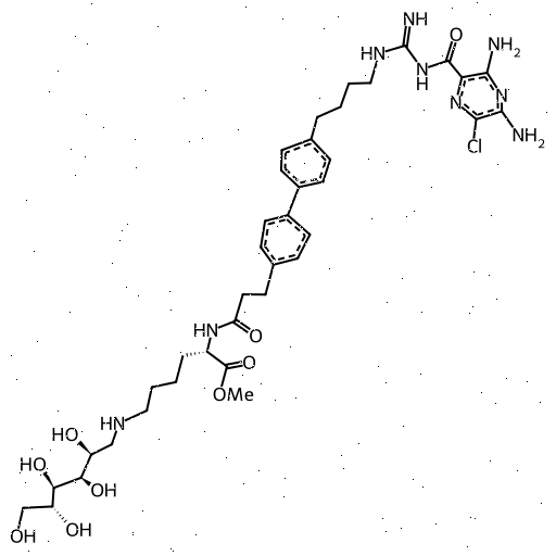 COC(=O)[C@H](CCCCNC[C@H](O)[C@@H](O)[C@H](O)[C@H](O)CO)NC(=O)CCc1ccc(-c2ccc(CCCCNC(=N)NC(=O)c3nc(Cl)c(N)nc3N)cc2)cc1